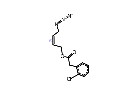 [N-]=[N+]=NC/C=C\COC(=O)Cc1ccccc1Cl